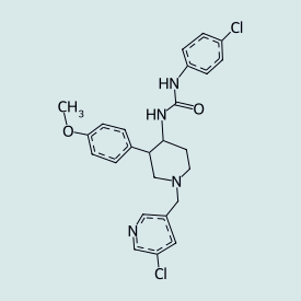 COc1ccc(C2CN(Cc3cncc(Cl)c3)CCC2NC(=O)Nc2ccc(Cl)cc2)cc1